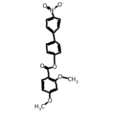 COc1ccc(C(=O)Oc2ccc(-c3ccc([N+](=O)[O-])cc3)cc2)c(OC)c1